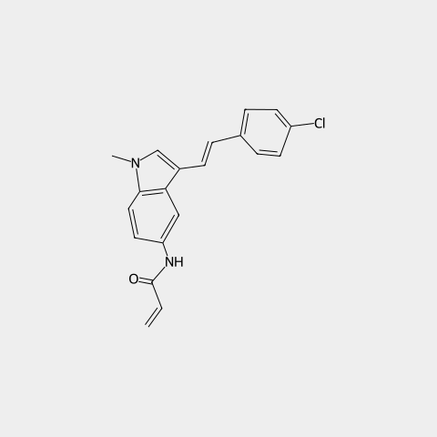 C=CC(=O)Nc1ccc2c(c1)c(C=Cc1ccc(Cl)cc1)cn2C